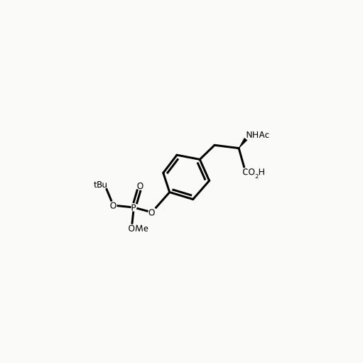 COP(=O)(Oc1ccc(C[C@@H](NC(C)=O)C(=O)O)cc1)OC(C)(C)C